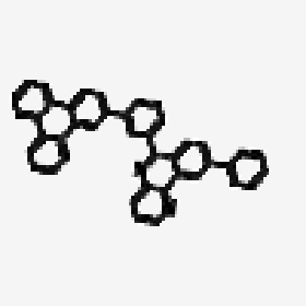 c1ccc(-c2ccc3c(-c4cccc(-c5ccc6c7ccccc7c7ccccc7c6c5)c4)nc4cccnc4c3c2)cc1